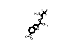 CC(NC[C@H](N)C(F)(F)F)c1cc2ccc([N+](=O)[O-])cc2o1